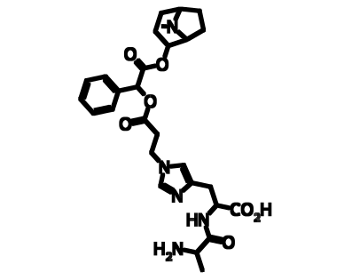 CC(N)C(=O)NC(Cc1cn(CCC(=O)OC(C(=O)OC2CCC3CCC2N3C)c2ccccc2)cn1)C(=O)O